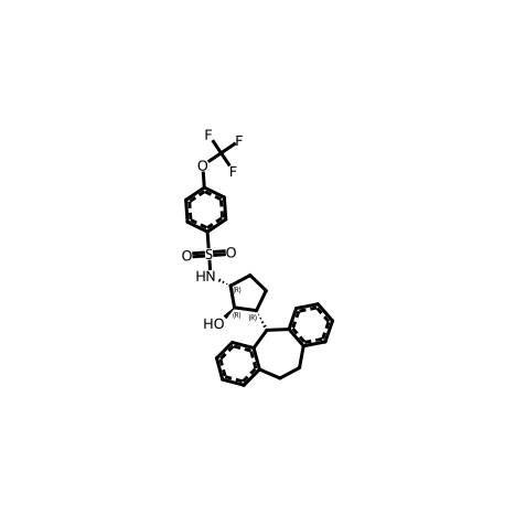 O=S(=O)(N[C@@H]1CC[C@H](C2c3ccccc3CCc3ccccc32)[C@H]1O)c1ccc(OC(F)(F)F)cc1